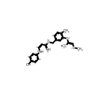 CO/C=C(\C)Oc1cc(COC(=N)/C=C\Nc2ccc(Cl)cc2)ccc1C